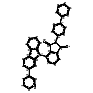 O=C1c2cccc(-n3c4ccccc4c4ccc(-c5cccnc5)cc43)c2C(=O)N1c1ccc(-c2ccccc2)cc1